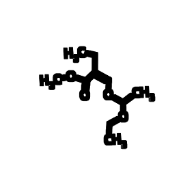 CCOC(C)OC=C(CC)C(=O)OC